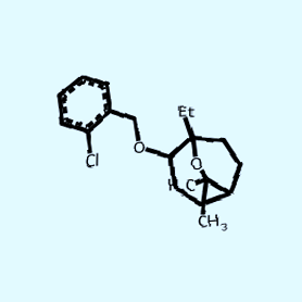 CCC12CCC(CCC1OCc1ccccc1Cl)C(C)(C)O2